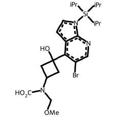 COCN(C(=O)O)C1CC(O)(c2c(Br)cnc3c2ccn3[Si](C(C)C)(C(C)C)C(C)C)C1